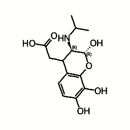 CC(C)N[C@@H]1C(CC(=O)O)c2ccc(O)c(O)c2O[C@H]1O